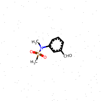 CN(c1cccc(C=O)c1)S(C)(=O)=O